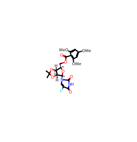 COc1cc(OC)c(C(=O)OC[C@H]2O[C@@H](n3cc(F)c(=O)[nH]c3=O)[C@@H]3OC(C)(C)O[C@@H]32)c(OC)c1